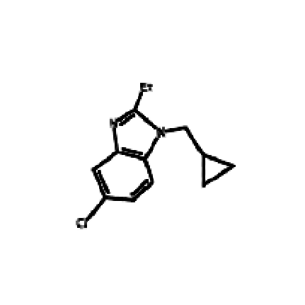 CCc1nc2cc(Cl)ccc2n1CC1CC1